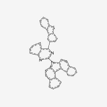 c1ccc2c(c1)ccc1c2c2c3ccccc3ccc2n1-c1nc(-c2ccc3sc4ccccc4c3c2)c2ccccc2n1